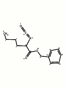 CCCCC(N=C=O)C(=O)OCc1ccccc1